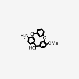 COc1ccc(Cc2ccc(N)cc2)cc1Oc1cccc(Cl)c1.Cl